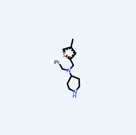 Cc1csc(CN(CC(C)C)C2CCNCC2)c1